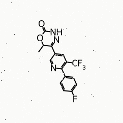 CC1OC(=O)NN=C1c1cnc(-c2ccc(F)cc2)c(C(F)(F)F)c1